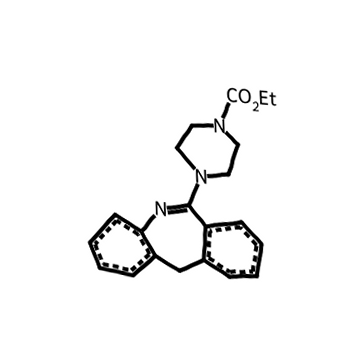 CCOC(=O)N1CCN(C2=Nc3ccccc3Cc3ccccc32)CC1